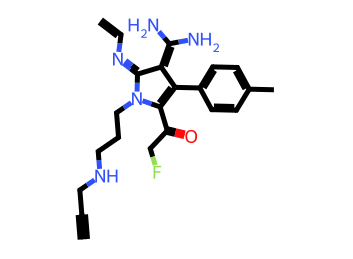 C#CCNCCCN1C(C(=O)CF)=C(c2ccc(C)cc2)C(=C(N)N)/C1=N\C=C